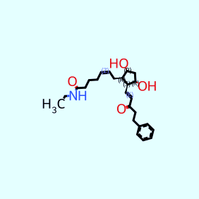 CCNC(=O)CCC/C=C\C[C@@H]1[C@H](/C=C/C(=O)CCc2ccccc2)[C@H](O)C[C@H]1O